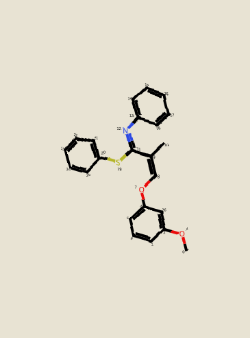 COc1cccc(OC=C(C)C(=Nc2ccccc2)Sc2ccccc2)c1